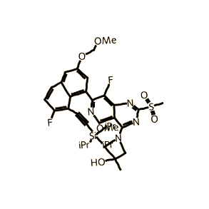 COCOc1cc(-c2nc(OC)c3c(N4CC(C)(O)C4)nc(S(C)(=O)=O)nc3c2F)c2c(C#C[Si](C(C)C)(C(C)C)C(C)C)c(F)ccc2c1